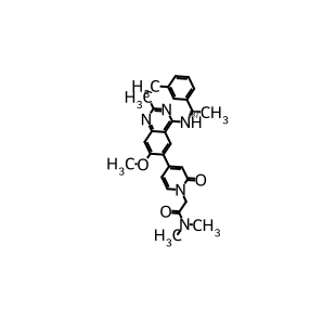 COc1cc2nc(C)nc(N[C@H](C)c3cccc(C)c3)c2cc1-c1ccn(CC(=O)N(C)C)c(=O)c1